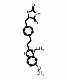 COc1ccc2nc(CCc3ccc(CC4SC(=O)NC4=O)cc3)n(C)c2c1